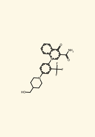 NC(=O)c1cn(-c2ccc(N3CCC(CO)CC3)cc2C(F)(F)F)c2ccccc2c1=O